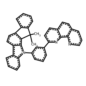 CC1(C)c2ccccc2-c2ccc3c4ccccc4n(-c4cccc(-c5ccc6ccc7cccnc7c6n5)c4)c3c21